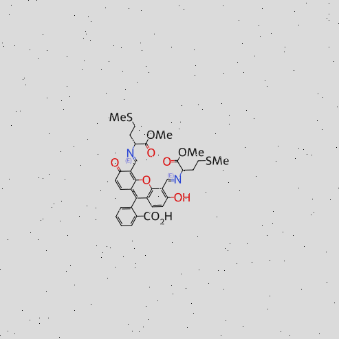 COC(=O)C(CCSC)/N=C/c1c2oc3c(/C=N/C(CCSC)C(=O)OC)c(O)ccc3c(-c3ccccc3C(=O)O)c-2ccc1=O